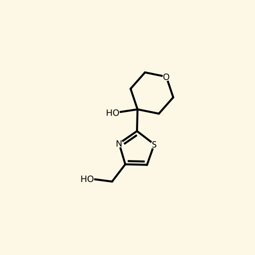 OCc1csc(C2(O)CCOCC2)n1